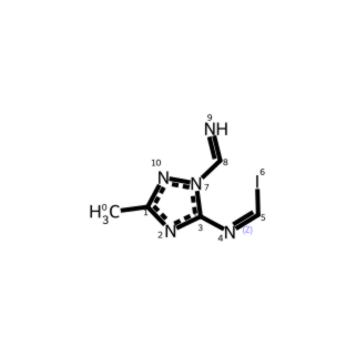 Cc1nc(/N=C\I)n(C=N)n1